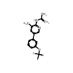 C=C(C)Nc1ncc(-c2cccc(OC(F)(F)F)c2)cc1C